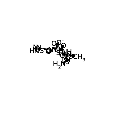 CCON=C(C(=O)NC1C(=O)N2C(C(=O)[O-])=C(C[n+]3cccc(CSc4nnn[nH]4)c3)CS[C@@H]12)c1nsc(N)n1